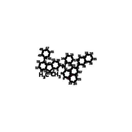 CC1(C)c2cc(N(c3ccccc3)c3ccccc3-c3cc4ccccc4cc3-c3ccc4ccccc4c3)ccc2-c2c(-c3ccccc3)cccc21